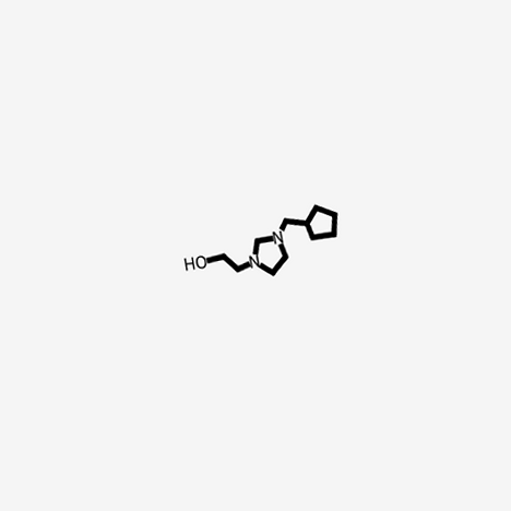 OCCN1CCN(CC2CCCC2)C1